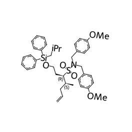 C=CC[C@H](C)[C@@H](CCO[Si](CC(C)C)(c1ccccc1)c1ccccc1)S(=O)(=O)N(Cc1ccc(OC)cc1)Cc1ccc(OC)cc1